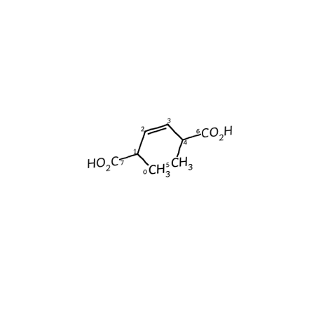 CC(/C=C\C(C)C(=O)O)C(=O)O